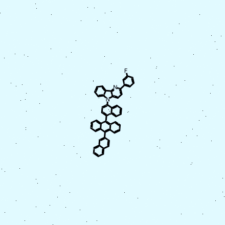 Fc1cccc(-c2ccc3c(n2)c2ccccc2n3-c2ccc(-c3c4ccccc4c(-c4ccc5ccccc5c4)c4ccccc34)c3ccccc23)c1